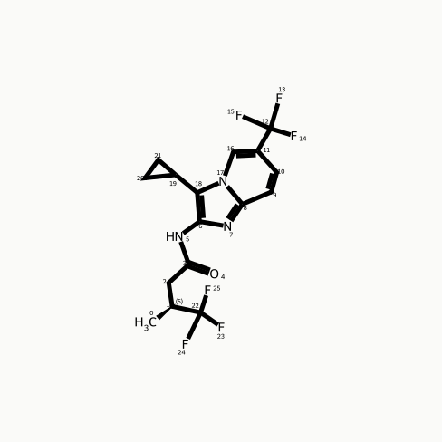 C[C@@H](CC(=O)Nc1nc2ccc(C(F)(F)F)cn2c1C1CC1)C(F)(F)F